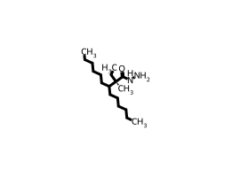 CCCCCCC(CCCCCC)[C@@](C)(CC)C(=O)NN